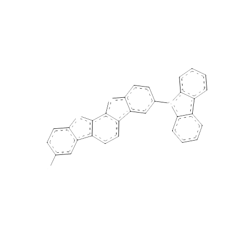 Cc1ccc2oc3c(ccc4c5cc(-n6c7ccccc7c7ccccc76)ccc5oc43)c2c1